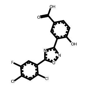 O=C(O)c1ccc(O)c(-c2noc(-c3cc(F)c(Cl)cc3Cl)n2)c1